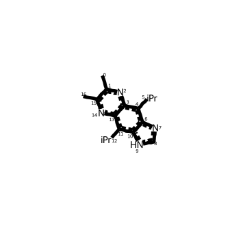 Cc1nc2c(C(C)C)c3nc[nH]c3c(C(C)C)c2nc1C